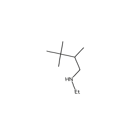 CCNCC(C)C(C)(C)C